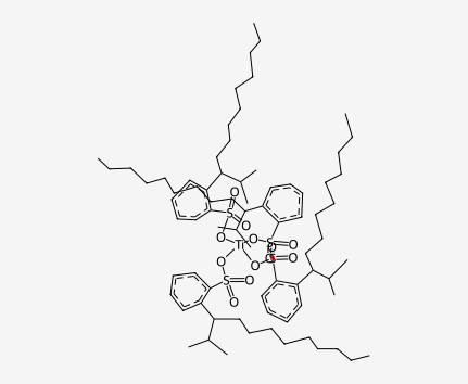 CCCCCCCCCC(c1ccccc1S(=O)(=O)[O][Ti]([O]S(=O)(=O)c1ccccc1C(CCCCCCCCC)C(C)C)([O]S(=O)(=O)c1ccccc1C(CCCCCCCCC)C(C)C)[O]S(=O)(=O)c1ccccc1C(CCCCCCCCC)C(C)C)C(C)C